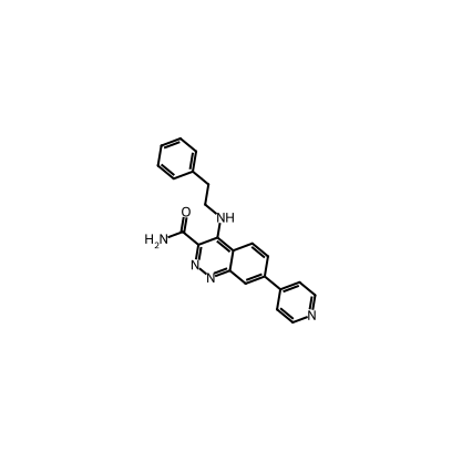 NC(=O)c1nnc2cc(-c3ccncc3)ccc2c1NCCc1ccccc1